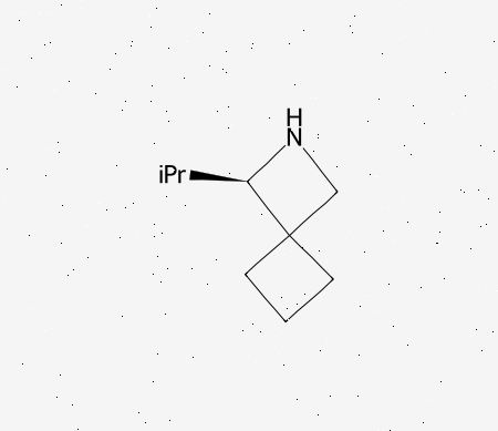 CC(C)[C@H]1NCC12CCC2